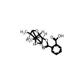 C[C@@H]1C2O[C@@H]3[C@@H](OC(=O)c4ccccc4C(=O)O)[C@H]1O[C@@H]3[C@H]2C